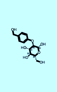 OCc1ccc(O[C@@H]2[C@@H](O)[C@H](O)[C@@H](CO)O[C@H]2O)cc1